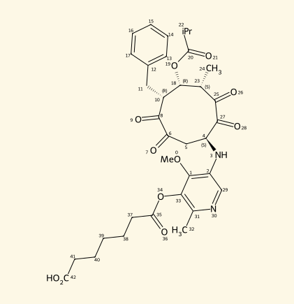 COc1c(N[C@H]2CC(=O)C(=O)[C@H](Cc3ccccc3)[C@H](OC(=O)C(C)C)[C@H](C)C(=O)C2=O)cnc(C)c1OC(=O)CCCCCC(=O)O